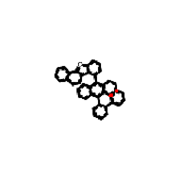 c1ccc(-c2ccccc2-c2c3ccccc3c(-c3cccc4oc5c6ccccc6ccc5c34)c3ccccc23)cc1